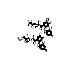 CC(C)C(O)CONC(=O)c1cc(Cl)c(F)cc1Nc1ccc(I)cc1Cl.O=C(NOCC(O)C(F)(F)F)c1cc(Cl)c(F)cc1Nc1ccc(I)cc1Cl